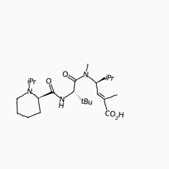 C/C(=C\[C@H](C(C)C)N(C)C(=O)[C@@H](NC(=O)[C@H]1CCCCN1C(C)C)C(C)(C)C)C(=O)O